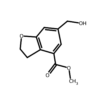 COC(=O)c1cc(CO)cc2c1CCO2